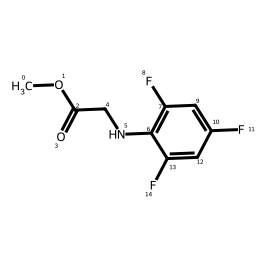 COC(=O)CNc1c(F)cc(F)cc1F